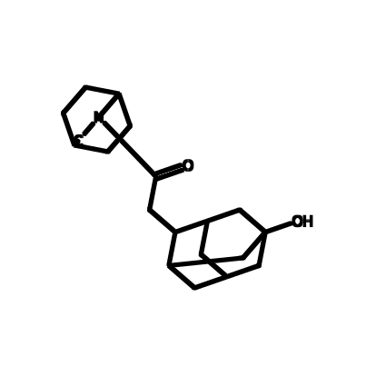 O=C(CC1C2CC3CC1CC(O)(C3)C2)N1CC2CCC(CC2)C1